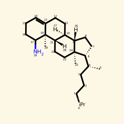 CC(C)CCC[C@@H](C)[C@H]1CC[C@H]2[C@@H]3CCC4=CCCC(N)[C@]4(C)[C@H]3CC[C@]12C